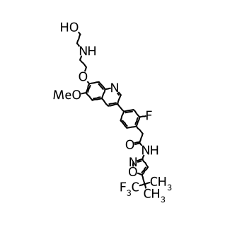 COc1cc2cc(-c3ccc(CC(=O)Nc4cc(C(C)(C)C(F)(F)F)on4)c(F)c3)cnc2cc1OCCNCCO